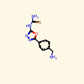 NCc1ccc(-c2nnc(NC(N)=S)o2)cc1